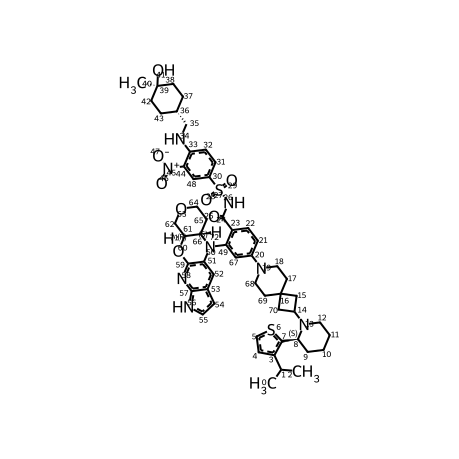 CC(C)c1ccsc1[C@@H]1CCCCN1C1CC2(CCN(c3ccc(C(=O)NS(=O)(=O)c4ccc(NC[C@H]5CC[C@](C)(O)CC5)c([N+](=O)[O-])c4)c(N4c5cc6cc[nH]c6nc5O[C@H]5COCC[C@@H]54)c3)CC2)C1